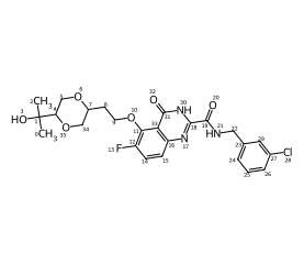 CC(C)(O)C1COC(CCOc2c(F)ccc3nc(C(=O)NCc4cccc(Cl)c4)[nH]c(=O)c23)CO1